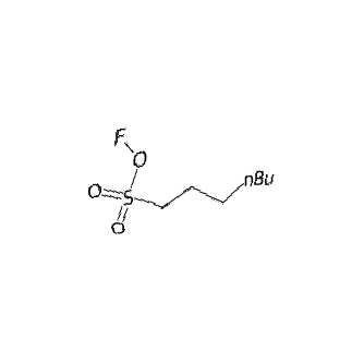 CCCCCCCS(=O)(=O)OF